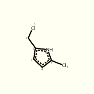 ClCc1ccc(Cl)[nH]1